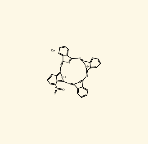 [Co].[O]=[Ti](=[O])[c]1cccc2c3nc4nc(nc5[nH]c(nc6nc(nc([nH]3)c12)-c1ccccc1-6)c1ccccc51)-c1ccccc1-4